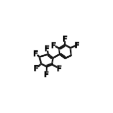 FC1=C(F)C(F)CC=C1C1=C(F)C(F)C(F)C(F)=C1F